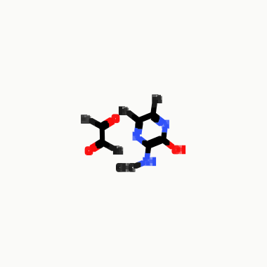 CCC(=O)C(=O)CC.CCc1nc(O)c(NC=O)nc1CC